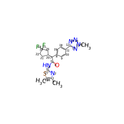 Cc1nc(NC(=O)C(c2ccc(-c3nnn(C)n3)cc2)C2CCC(F)(F)C2)sc1C